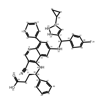 N#Cc1cnc2c(-c3cncnc3)cc(NC(C3=CN(C4CC4)NN3)c3ccc(F)cc3)cc2c1N[C@H](CCC(=O)O)c1ccccc1